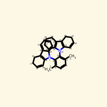 Cc1ccc(C)c(-n2c3c(c4ccccc42)CCC=C3)c1-n1c2c(c3c1CCCC3)CCC=C2